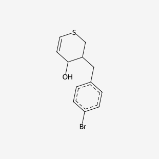 OC1C=CSCC1Cc1ccc(Br)cc1